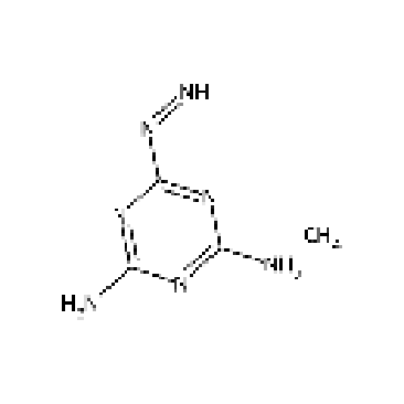 C.N=Nc1nc(N)nc(N)n1